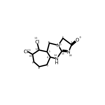 O=C1CN2CC3C(CCCC(Cl)C3Cl)NC2=N1